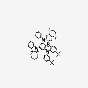 CC(C)(C)c1cccc(N2c3cc(C(C)(C)C)ccc3B3c4cc5c(cc4N(c4ccccc4)c4cc(N6c7ccccc7C7(C)CCCCCC67C)cc2c43)C(C)(C)CCC5(C)C)c1